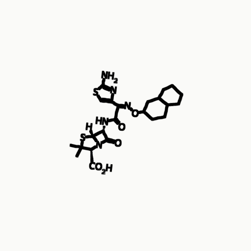 CC1(C)S[C@@H]2[C@H](NC(=O)/C(=N\OC3CCC4CCCCC4C3)c3csc(N)n3)C(=O)N2[C@H]1C(=O)O